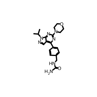 CC(C)n1ncc2c(-c3ccc(CNC(N)=O)cc3)nc(N3CCOCC3)nc21